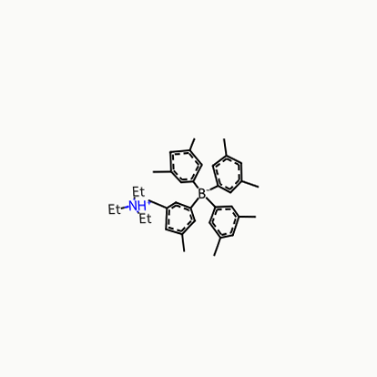 CC[NH+](CC)CC.Cc1cc(C)cc([B-](c2cc(C)cc(C)c2)(c2cc(C)cc(C)c2)c2cc(C)cc(C)c2)c1